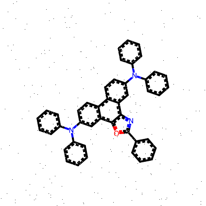 c1ccc(-c2nc3c4cc(N(c5ccccc5)c5ccccc5)ccc4c4ccc(N(c5ccccc5)c5ccccc5)cc4c3o2)cc1